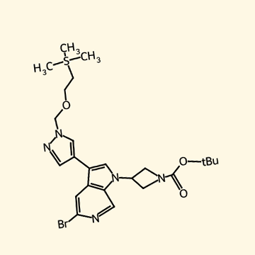 CC(C)(C)OC(=O)N1CC(n2cc(-c3cnn(COCCS(C)(C)C)c3)c3cc(Br)ncc32)C1